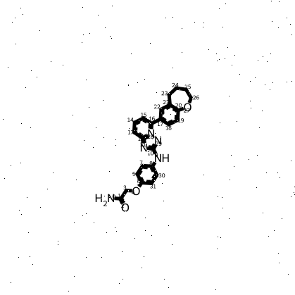 NC(=O)COc1ccc(Nc2nc3cccc(-c4ccc5c(c4)CCCCO5)n3n2)cc1